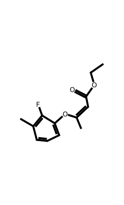 CCOC(=O)/C=C(/C)Oc1cccc(C)c1F